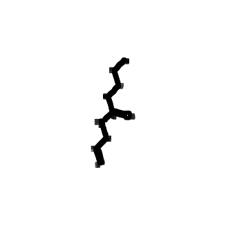 C=CCSC(=O)CCCC